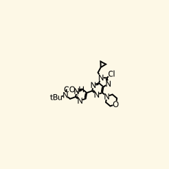 CC(C)(C)N(Cc1ncc(-c2nc(N3CCOCC3)c3nc(Cl)n(CC4CC4)c3n2)cn1)C(=O)O